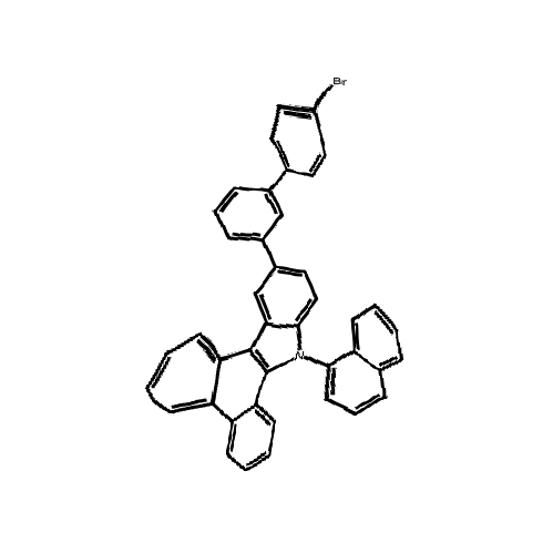 Brc1ccc(-c2cccc(-c3ccc4c(c3)c3c5ccccc5c5ccccc5c3n4-c3cccc4ccccc34)c2)cc1